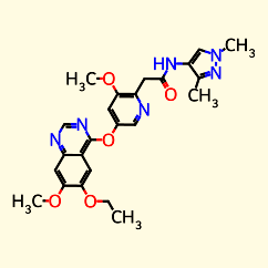 CCOc1cc2c(Oc3cnc(CC(=O)Nc4cn(C)nc4C)c(OC)c3)ncnc2cc1OC